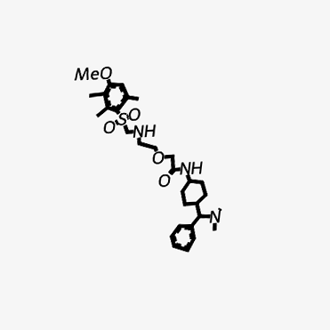 COc1cc(C)c(S(=O)(=O)CNCCOCC(=O)NC2CCC(C(c3ccccc3)N(C)C)CC2)c(C)c1C